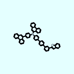 c1cc(-c2ccc(-c3ccc(N(c4ccc(-c5cc6ccccc6c6ccccc56)cc4)c4cc5ccccc5c5ccccc45)cc3)cc2)cc(-c2cc3ccccc3o2)c1